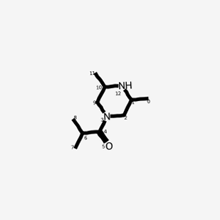 CC1CN(C(=O)C(C)C)CC(C)N1